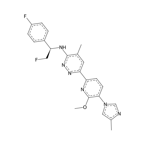 COc1nc(-c2cc(C)c(N[C@@H](CF)c3ccc(F)cc3)nn2)ccc1-n1cnc(C)c1